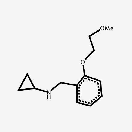 COCCOc1ccccc1CNC1CC1